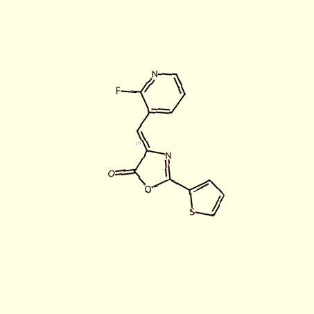 O=C1OC(c2cccs2)=N/C1=C\c1cccnc1F